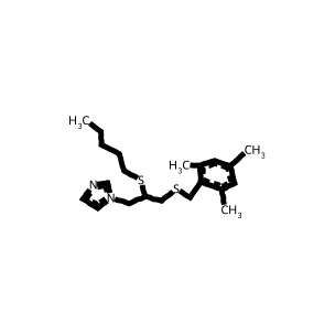 CCCCCSC(CSCc1c(C)cc(C)cc1C)Cn1ccnc1